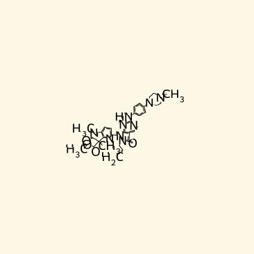 C=CCn1c(=O)c2cnc(Nc3ccc(N4CCN(C)CC4)cc3)nc2n1-c1ccc2c(n1)C(C)(C(=O)OC)C(=O)N2C